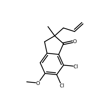 C=CCC1(C)Cc2cc(OC)c(Cl)c(Cl)c2C1=O